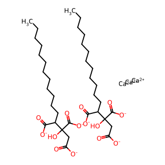 CCCCCCCCCCCCC(C(=O)[O-])C(O)(CC(=O)[O-])C(=O)[O-].CCCCCCCCCCCCC(C(=O)[O-])C(O)(CC(=O)[O-])C(=O)[O-].[Ca+2].[Ca+2].[Ca+2]